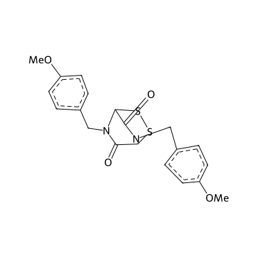 COc1ccc(CN2C(=O)C3SSC2C(=O)N3Cc2ccc(OC)cc2)cc1